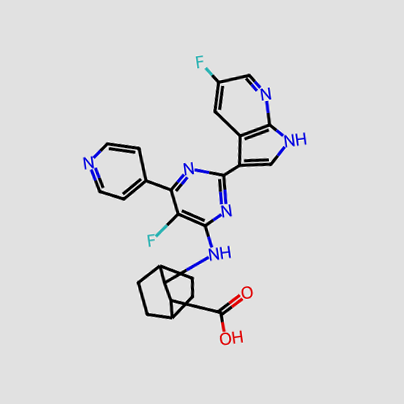 O=C(O)C1C2CCC(CC2)C1Nc1nc(-c2c[nH]c3ncc(F)cc23)nc(-c2ccncc2)c1F